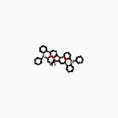 OC1c2cc(-c3ccccc3N(c3ccccc3)c3ccccc3)ccc2-c2ccc(-c3ccccc3N(c3ccccc3)c3ccccc3)cc21